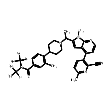 [2H]C([2H])([2H])N(C(=O)c1ccc(C2CCN(C(C)c3cc4c(-c5ccc(N)nc5C#N)ccnc4n3C)CC2)c(C)c1)C([2H])([2H])[2H]